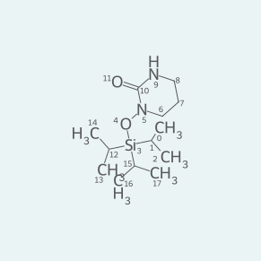 CC(C)[Si](ON1CCCNC1=O)(C(C)C)C(C)C